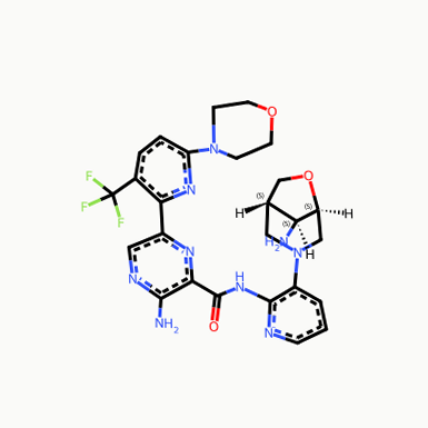 Nc1ncc(-c2nc(N3CCOCC3)ccc2C(F)(F)F)nc1C(=O)Nc1ncccc1N1C[C@@H]2CO[C@@H](C1)[C@H]2N